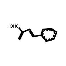 C=C([C]=O)/C=C/c1ccccc1